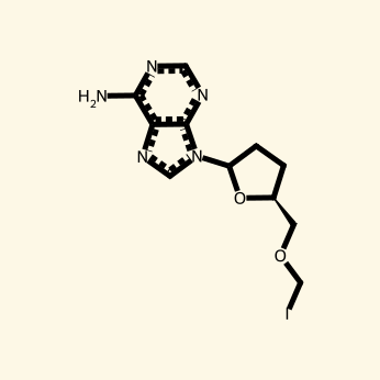 Nc1ncnc2c1ncn2C1CC[C@@H](COCI)O1